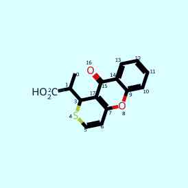 CC(C(=O)O)C1SC=Cc2oc3ccccc3c(=O)c21